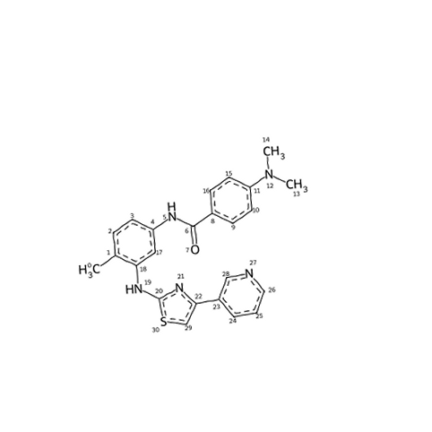 Cc1ccc(NC(=O)c2ccc(N(C)C)cc2)cc1Nc1nc(-c2cccnc2)cs1